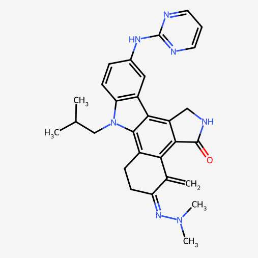 C=C1/C(=N\N(C)C)CCc2c1c1c(c3c4cc(Nc5ncccn5)ccc4n(CC(C)C)c23)CNC1=O